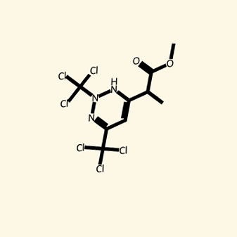 COC(=O)C(C)C1=CC(C(Cl)(Cl)Cl)=NN(C(Cl)(Cl)Cl)N1